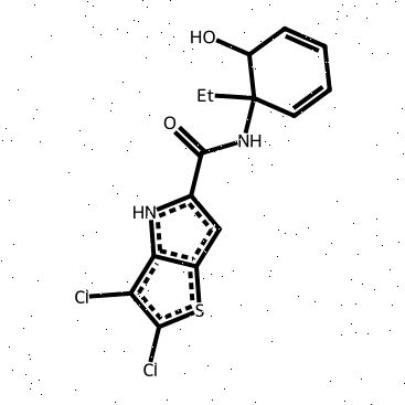 CCC1(NC(=O)c2cc3sc(Cl)c(Cl)c3[nH]2)C=CC=CC1O